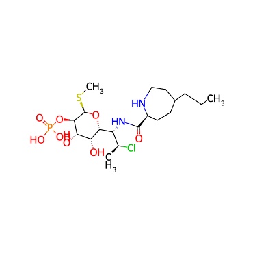 CCCC1CCN[C@H](C(=O)N[C@@H]([C@H]2O[C@H](SC)[C@H](OP(=O)(O)O)[C@@H](O)[C@H]2O)[C@H](C)Cl)CC1